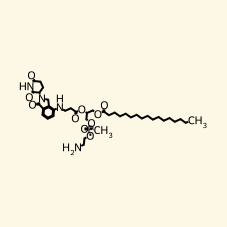 CCCCCCCCCCCCCCCCC(=O)OCC(COP(C)(=O)OCCN)OC(=O)CCNc1cccc2c1CN([C@@H]1CCC(=O)NC1=O)C2=O